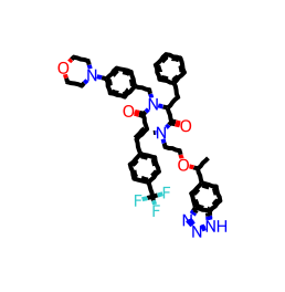 CC(OCCN(C)C(=O)C(Cc1ccccc1)N(Cc1ccc(N2CCOCC2)cc1)C(=O)C=Cc1ccc(C(F)(F)F)cc1)c1ccc2[nH]nnc2c1